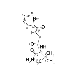 CC(C)(C)C(NC(=O)CNC(=O)c1cnccn1)C(N)=O